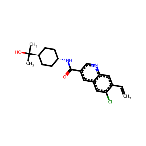 C=Cc1cc2ncc(C(=O)N[C@H]3CC[C@H](C(C)(C)O)CC3)cc2cc1Cl